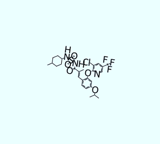 C/C(=C\c1ccc(OC(C)C)cc1Oc1ncc(C(F)(F)F)cc1Cl)C(=O)NS(=O)(=O)NC1CCC(C)CC1